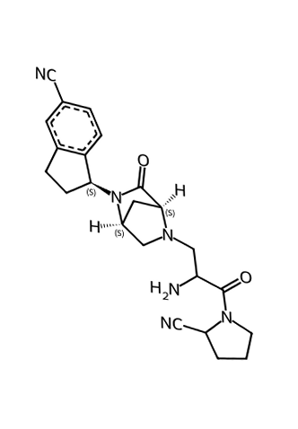 N#Cc1ccc2c(c1)CC[C@@H]2N1C(=O)[C@@H]2C[C@H]1CN2CC(N)C(=O)N1CCCC1C#N